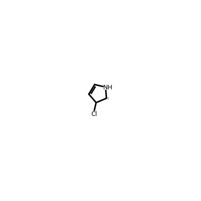 ClC1[C]NC=C1